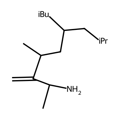 C=C(C(C)N)C(C)CC(CC(C)C)C(C)CC